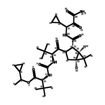 CC(OC(=O)[C@@H](NC(=O)N[C@H](C(=O)N1C[C@H]2[C@@H]([C@H]1C(=O)NC(C(=O)C(N)=O)C1CC1)C2(C)C)C(C)(C)C)C(C)(C)C)C1CC1